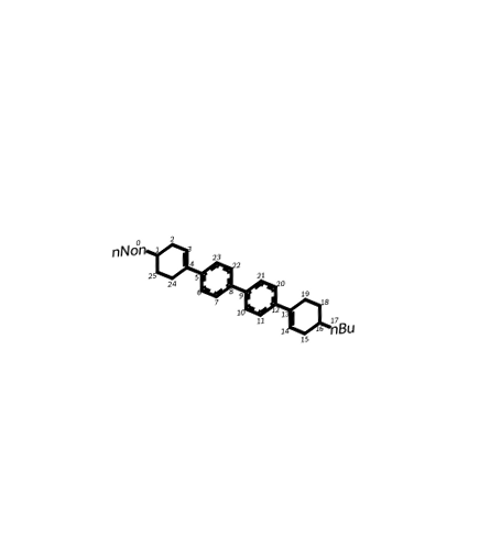 CCCCCCCCCC1CC=C(c2ccc(-c3ccc(C4=CCC(CCCC)CC4)cc3)cc2)CC1